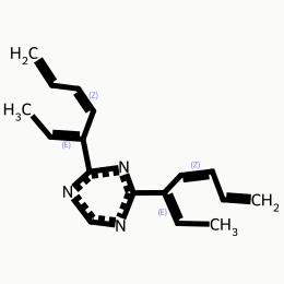 C=C/C=C\C(=C/C)c1ncnc(C(/C=C\C=C)=C/C)n1